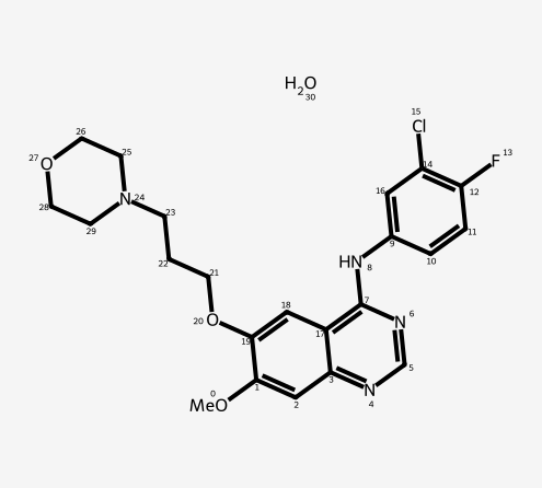 COc1cc2ncnc(Nc3ccc(F)c(Cl)c3)c2cc1OCCCN1CCOCC1.O